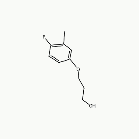 Cc1cc(OCCCO)ccc1F